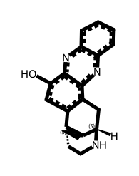 Oc1cc2c(c3nc4ccccc4nc13)C[C@@H]1NCC[C@]23CCCCC13